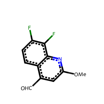 COc1cc(C=O)c2ccc(F)c(F)c2n1